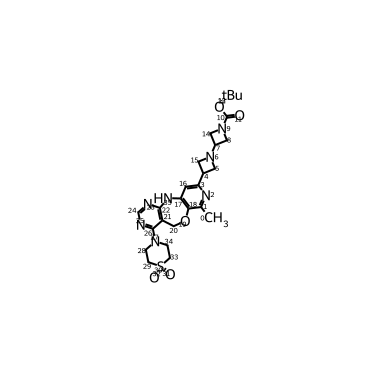 Cc1nc(C2CN(C3CN(C(=O)OC(C)(C)C)C3)C2)cc2c1OCc1c(ncnc1N1CCS(=O)(=O)CC1)N2